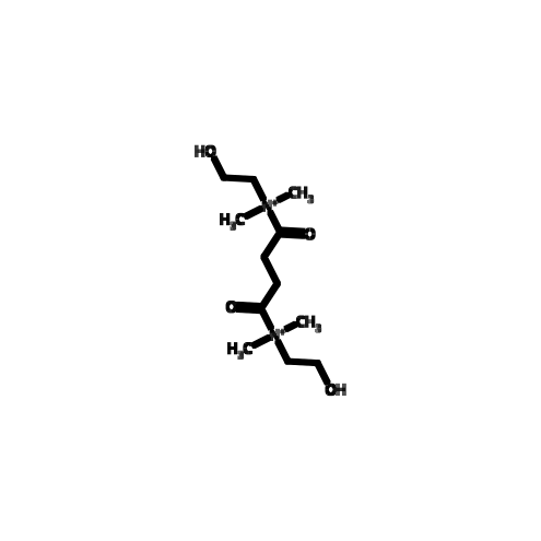 C[N+](C)(CCO)C(=O)CCC(=O)[N+](C)(C)CCO